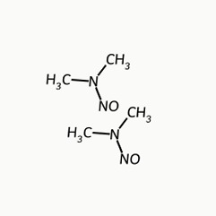 CN(C)N=O.CN(C)N=O